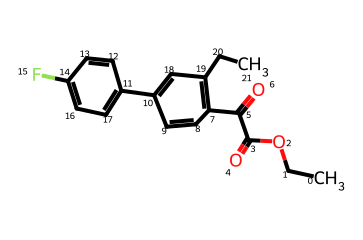 CCOC(=O)C(=O)c1ccc(-c2ccc(F)cc2)cc1CC